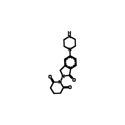 O=C1c2ccc(N3CCNCC3)cc2CN1N1C(=O)CCCC1=O